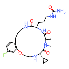 C[C@@H]1C(=O)N[C@H](CCCNC(N)=O)C(=O)NCCCc2ccc(F)cc2OCCN[C@@H](C2CC2)C(=O)N1C